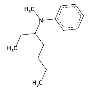 CCCCC(CC)N(C)c1ccccc1